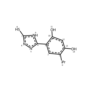 CC(C)c1cc(-c2nnc(S)[nH]2)c(O)cc1O